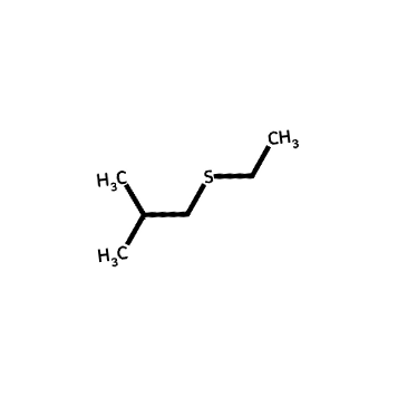 CCSC[C](C)C